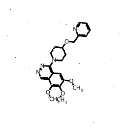 COc1cc2c(N3CCC(OCc4ccccn4)CC3)nncc2c(OC)c1OC